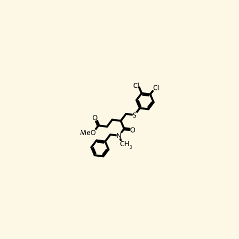 COC(=O)CCC(CSc1ccc(Cl)c(Cl)c1)C(=O)N(C)Cc1ccccc1